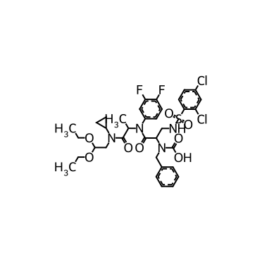 CCOC(CN(C(=O)C(C)N(C(=O)C(CNS(=O)(=O)c1ccc(Cl)cc1Cl)N(Cc1ccccc1)C(=O)O)c1ccc(F)c(F)c1)C1CC1)OCC